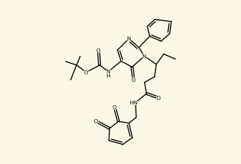 CCC(CCC(=O)NCC1=CC=CC(=O)C1=O)n1c(-c2ccccc2)ncc(NC(=O)OC(C)(C)C)c1=O